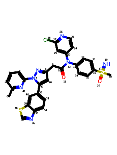 Cc1cccc(-n2nc(CC(=O)N(c3ccc(S(C)(=N)=O)cc3)c3ccnc(Cl)c3)cc2-c2ccc3ncsc3c2)n1